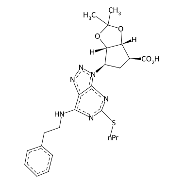 CCCSc1nc(NCCc2ccccc2)c2nnn([C@@H]3C[C@H](C(=O)O)[C@H]4OC(C)(C)O[C@H]43)c2n1